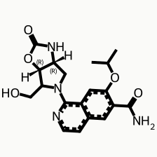 CC(C)Oc1cc2c(N3C[C@H]4NC(=O)O[C@H]4C3CO)nccc2cc1C(N)=O